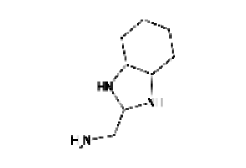 NCC1NC2CCCCC2N1